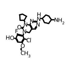 CCOc1cc(O)c(F)c(N2Cc3cnc(NC4CCC(N)CC4)nc3N(C3CCCC3)C2=O)c1Cl